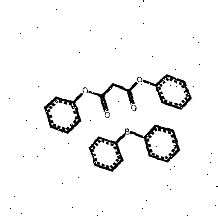 O=C(CC(=O)Oc1ccccc1)Oc1ccccc1.[B](c1ccccc1)c1ccccc1